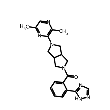 Cc1cnc(C)c(N2CC3CN(C(=O)c4ccccc4-c4ncn[nH]4)CC3C2)n1